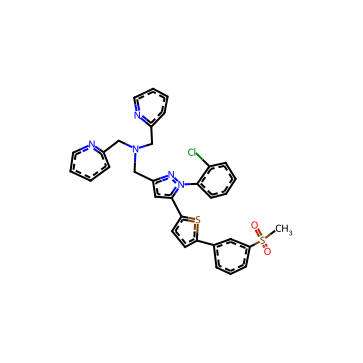 CS(=O)(=O)c1cccc(-c2ccc(-c3cc(CN(Cc4ccccn4)Cc4ccccn4)nn3-c3ccccc3Cl)s2)c1